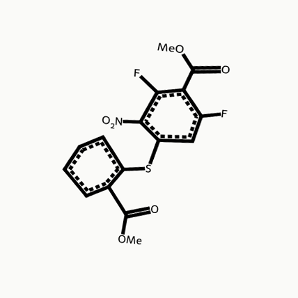 COC(=O)c1ccccc1Sc1cc(F)c(C(=O)OC)c(F)c1[N+](=O)[O-]